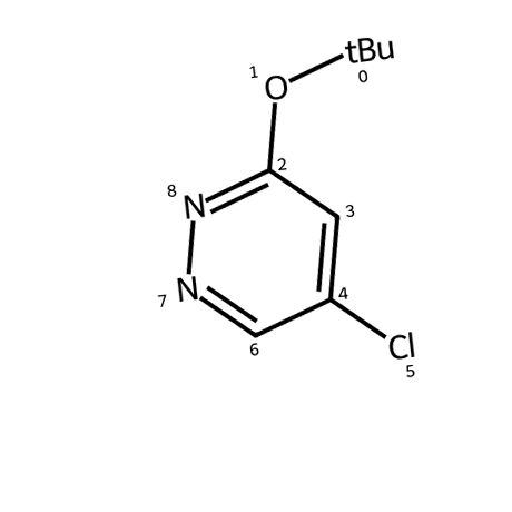 CC(C)(C)Oc1cc(Cl)cnn1